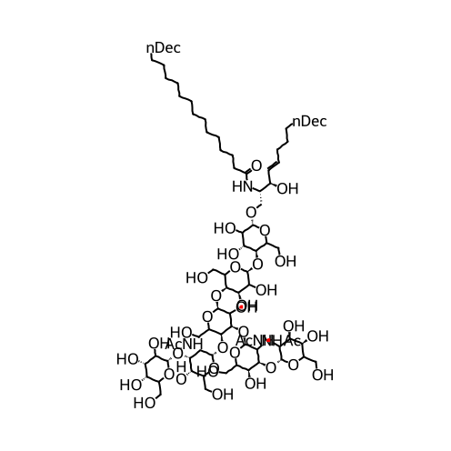 CCCCCCCCCCCCC/C=C/[C@@H](O)[C@H](CO[C@@H]1OC(CO)[C@@H](O[C@@H]2OC(CO)[C@H](O[C@@H]3OC(CO)[C@H](O[C@@H]4OC(CO)[C@H](O)[C@H](O[C@@H]5OC(CO)[C@H](O)[C@H](O)C5O)C4NC(C)=O)[C@H](O[C@@H]4OC(CO)[C@H](O)[C@H](O[C@H]5OC(CO)[C@H](O)[C@H](O)C5NC(C)=O)C4NC(C)=O)C3O)[C@H](O)C2O)[C@H](O)C1O)NC(=O)CCCCCCCCCCCCCCCCCCCCCCC